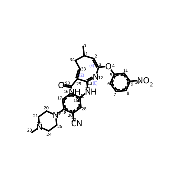 CC1\C=C(Oc2cccc([N+](=O)[O-])c2)/N=C(Nc2ccc(N3CCN(C)CC3)c(C#N)c2)\C(C(N)=O)=C\C1